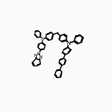 c1ccc(-c2ccc(-c3ccc(N(c4ccccc4)c4ccc(Cc5ccc(N(c6ccccc6)c6ccc(-n7nc8ccccc8n7)cc6)cc5)cc4)cc3)cc2)cc1